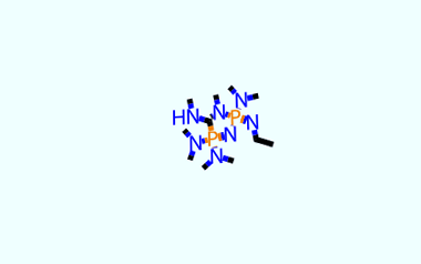 CCN=P(N=P(CNC)(N(C)C)N(C)C)(N(C)C)N(C)C